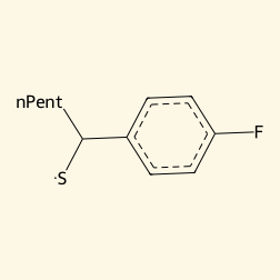 CCCCCC([S])c1ccc(F)cc1